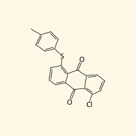 Cc1ccc(Sc2cccc3c2C(=O)c2cccc(Cl)c2C3=O)cc1